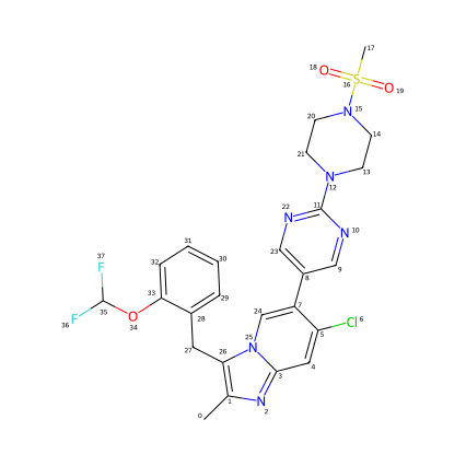 Cc1nc2cc(Cl)c(-c3cnc(N4CCN(S(C)(=O)=O)CC4)nc3)cn2c1Cc1ccccc1OC(F)F